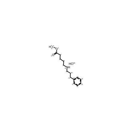 COC(=O)CCCCNCCCc1ccccc1.Cl